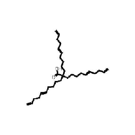 C=CCC/C=C/CCCCC(CCCC/C=C/CCC=C)(CCCC/C=C/CCC=C)C(=O)O